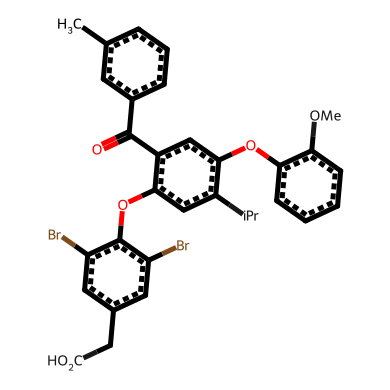 COc1ccccc1Oc1cc(C(=O)c2cccc(C)c2)c(Oc2c(Br)cc(CC(=O)O)cc2Br)cc1C(C)C